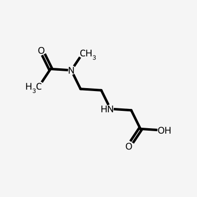 CC(=O)N(C)CCNCC(=O)O